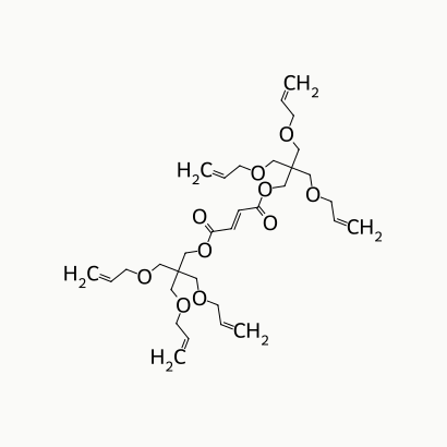 C=CCOCC(COCC=C)(COCC=C)COC(=O)C=CC(=O)OCC(COCC=C)(COCC=C)COCC=C